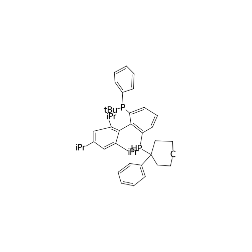 CC(C)c1cc(C(C)C)c(-c2c(PC3(c4ccccc4)CCCCC3)cccc2P(c2ccccc2)C(C)(C)C)c(C(C)C)c1